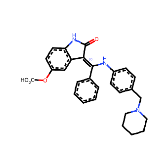 O=C(O)Oc1ccc2c(c1)/C(=C(/Nc1ccc(CN3CCCCC3)cc1)c1ccccc1)C(=O)N2